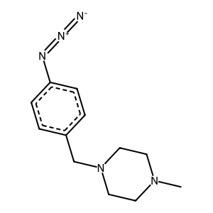 CN1CCN(Cc2ccc(N=[N+]=[N-])cc2)CC1